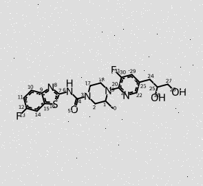 CC1CN(C(=O)Nc2nc3ccc(F)cc3s2)CCN1c1ncc(CC(O)CO)cc1F